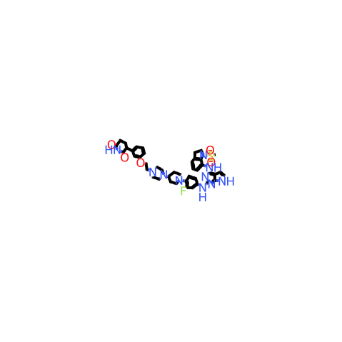 CS(=O)(=O)N1CCc2cccc(Nc3nc(Nc4ccc(N5CCC(N6CCN(CCOc7cccc(C8CCC(=O)NC8=O)c7)CC6)CC5)c(F)c4)nc4[nH]ccc34)c21